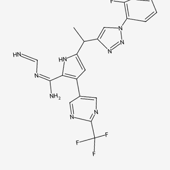 CC(c1cn(-c2ccc(F)cc2F)nn1)c1cc(-c2cnc(C(F)(F)F)nc2)c(/C(N)=N\C=N)[nH]1